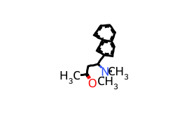 CC(=O)CC(c1ccc2ccccc2c1)N(C)C